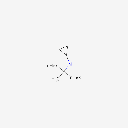 CCCCCCC(C)(CCCCCC)NC1CC1